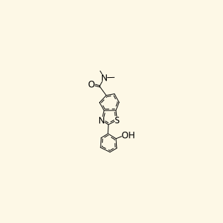 CN(C)C(=O)c1ccc2sc(-c3ccccc3O)nc2c1